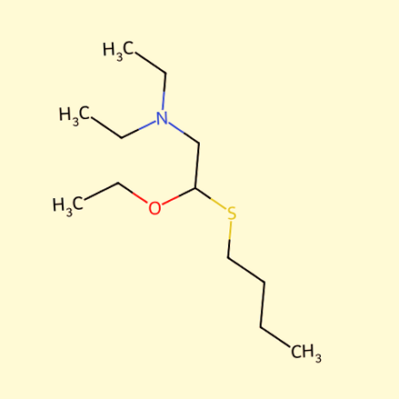 CCCCSC(CN(CC)CC)OCC